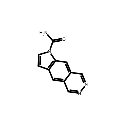 NC(=O)n1ccc2cc3cnncc3cc21